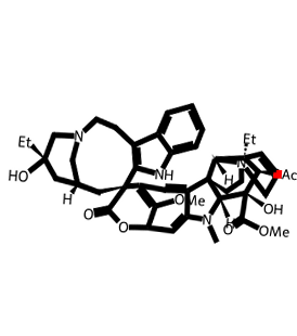 CC[C@]1(O)C[C@@H]2CN(CCc3c([nH]c4ccccc34)[C@@]3(C2)C(=O)OC2C=C4C(=CC3=C2OC)[C@@]23CCN5CC=C[C@@](CC)([C@@H](OC(C)=O)[C@](O)(C(=O)OC)[C@@H]2N4C)[C@H]53)C1